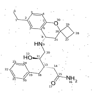 CCc1ccc2c(c1)[C@@H](NC[C@H](O)[C@H](CC(N)=O)Cc1ccccc1)CC1(CCC1)O2